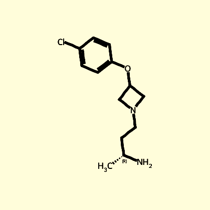 C[C@@H](N)CCN1CC(Oc2ccc(Cl)cc2)C1